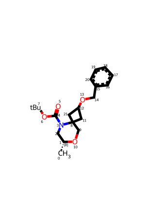 C[C@@H]1CN(C(=O)OC(C)(C)C)C2(CO1)CC(OCc1ccccc1)C2